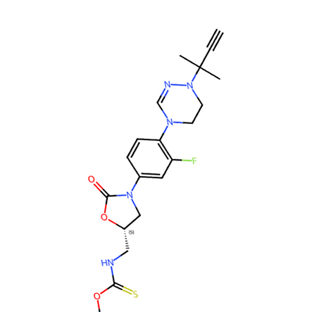 C#CC(C)(C)N1CCN(c2ccc(N3C[C@H](CNC(=S)OC)OC3=O)cc2F)C=N1